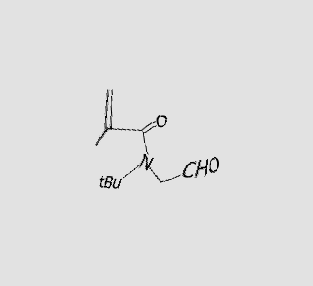 C=C(C)C(=O)N(CC=O)C(C)(C)C